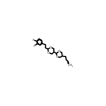 C=CCCC1COC(C2COC(CCc3ccc(F)c(F)c3)OC2)OC1